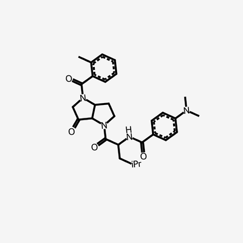 Cc1ccccc1C(=O)N1CC(=O)C2C1CCN2C(=O)C(CC(C)C)NC(=O)c1ccc(N(C)C)cc1